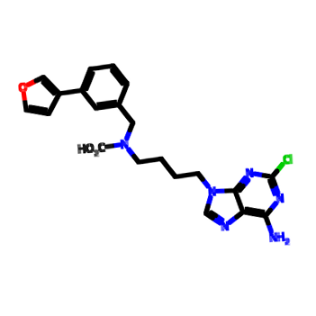 Nc1nc(Cl)nc2c1ncn2CCCCN(Cc1cccc(-c2ccoc2)c1)C(=O)O